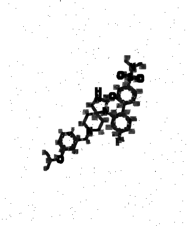 CC(C)Oc1cccc(CN2CCC3(CC2)CNC(=O)N3c2cc(F)ccc2-c2ccc(S(=O)(=O)N(C)C)cc2)c1